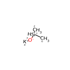 C[SiH](C)[O-].[K+]